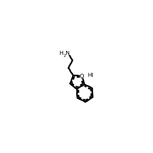 I.NCCc1cc2ccccc2o1